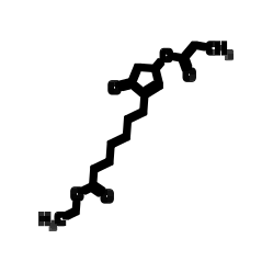 CCOC(=O)CCCCCCC1=CC(OC(=O)CC)CC1=O